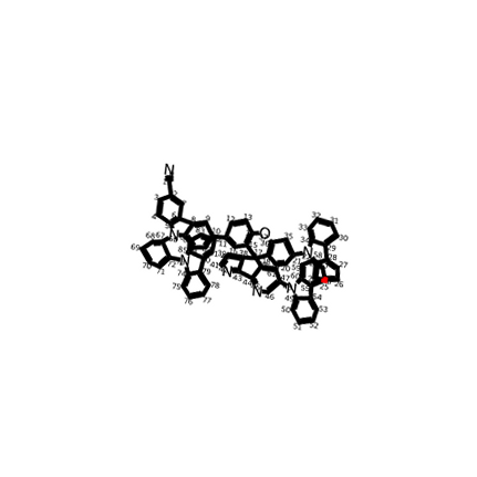 N#Cc1ccc2c(c1)c1cc(-c3ccc4c(c3)C3(c5ccc(-n6c7ccccc7c7ccccc76)cc5O4)c4cccnc4-c4ncc(-n5c6ccccc6c6ccccc65)cc43)ccc1n2-c1ccccc1-n1c2ccccc2c2ccccc21